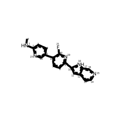 CNc1ccc(-c2ccc(-c3cc4ccncc4[nH]3)nc2F)cn1